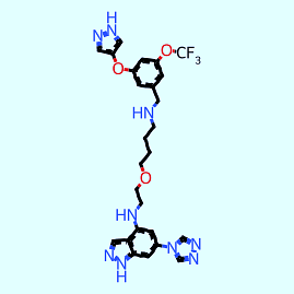 FC(F)(F)Oc1cc(CNCCCCOCCNc2cc(-n3cnnc3)cc3[nH]ncc23)cc(Oc2cn[nH]c2)c1